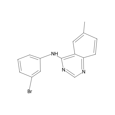 Cc1ccc2ncnc(Nc3cccc(Br)c3)c2c1